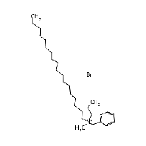 CCCCCCCCCCCCCCCCCC[N+](C)(CCC)Cc1ccccc1.[Br-]